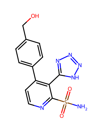 NS(=O)(=O)c1nccc(-c2ccc(CO)cc2)c1-c1nnn[nH]1